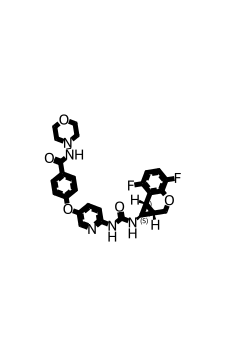 O=C(Nc1ccc(Oc2ccc(C(=O)NN3CCOCC3)cc2)cn1)N[C@@H]1[C@H]2COc3c(F)ccc(F)c3[C@H]21